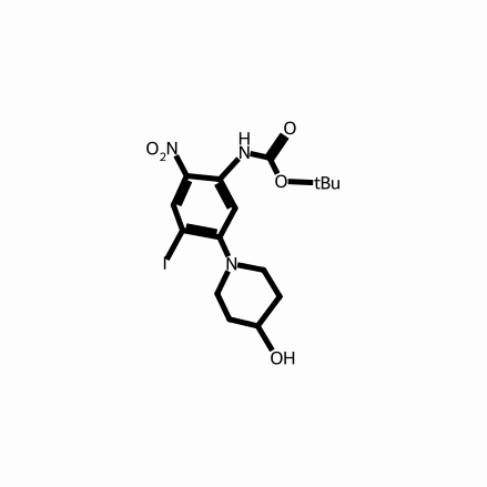 CC(C)(C)OC(=O)Nc1cc(N2CCC(O)CC2)c(I)cc1[N+](=O)[O-]